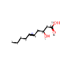 CCCC/C=C/CC(O)CC(=O)O